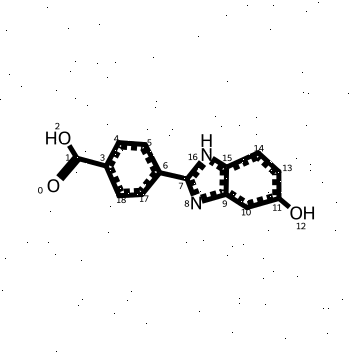 O=C(O)c1ccc(-c2nc3cc(O)ccc3[nH]2)cc1